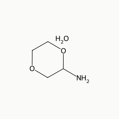 NC1COCCO1.O